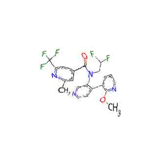 COc1ncccc1-c1ccncc1N(CC(F)F)C(=O)c1cc(C)nc(C(F)(F)F)c1